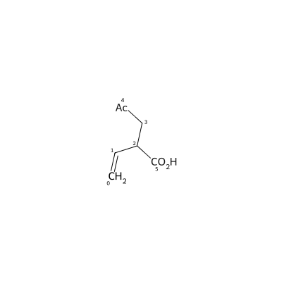 C=CC(CC(C)=O)C(=O)O